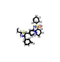 CCc1nc(-c2cccc(C)c2)c(-c2ccnc(N=S(=O)(C3CCCCC3)C3CCCCC3)c2)s1